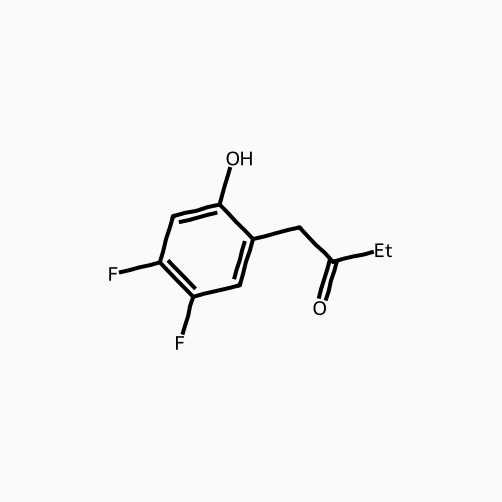 CCC(=O)Cc1cc(F)c(F)cc1O